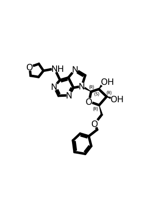 O[C@@H]1[C@H](O)[C@H](n2cnc3c(NC4CCOC4)ncnc32)O[C@@H]1COCc1ccccc1